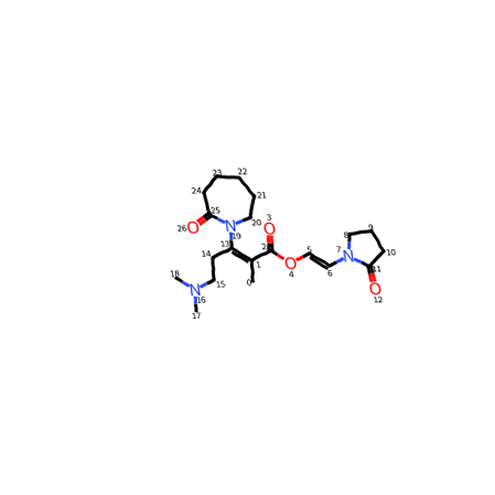 CC(C(=O)OC=CN1CCCC1=O)=C(CCN(C)C)N1CCCCCC1=O